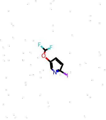 FC(F)Oc1ccc(I)nc1